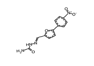 NC(=O)N/N=C/c1ccc(-c2ccc([N+](=O)[O-])cc2)o1